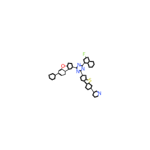 Fc1cc(-c2nc(-c3ccc4c(c3)C3CC=C(c5ccccc5)C=C3O4)nc(-c3ccc4c(c3)sc3cc(-c5cccnc5)ccc34)n2)c2ccccc2c1